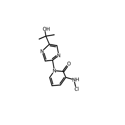 CC(C)(O)c1cnc(-n2cccc(NCl)c2=O)cn1